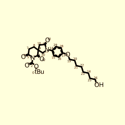 CC(C)(C)OC(=O)N1C(=O)CCC2(CC(=O)N(c3ccc(OCCCCCCCCO)cc3)C2)C1=O